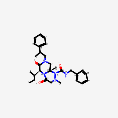 CCC(C)[C@H]1C(=O)N(CC(C)c2ccccc2)C[C@H]2N1C(=O)CN(C)N2C(=O)NCc1ccccc1